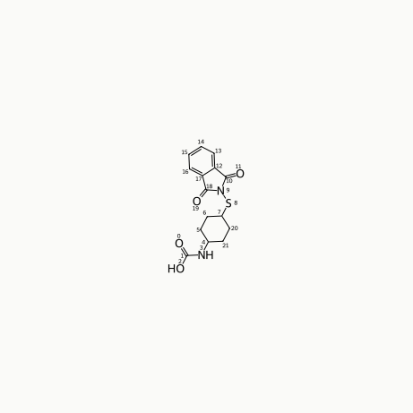 O=C(O)NC1CCC(SN2C(=O)c3ccccc3C2=O)CC1